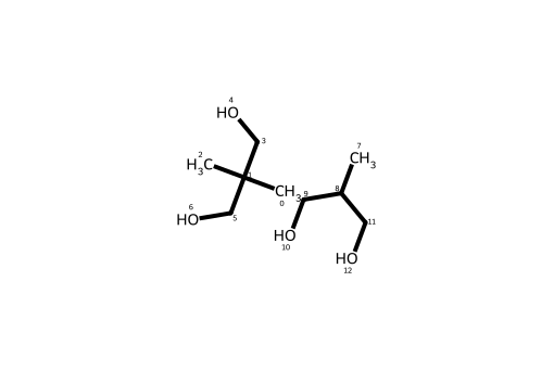 CC(C)(CO)CO.CC(CO)CO